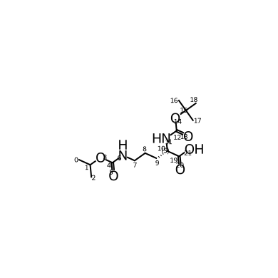 CC(C)OC(=O)NCCC[C@H](NC(=O)OC(C)(C)C)C(=O)O